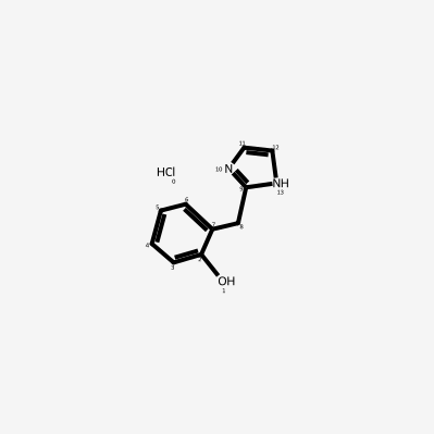 Cl.Oc1ccccc1Cc1ncc[nH]1